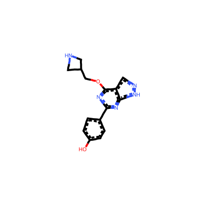 Oc1ccc(-c2nc(OCC3CNC3)c3cn[nH]c3n2)cc1